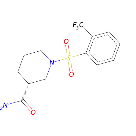 NC(=O)[C@@H]1CCCN(S(=O)(=O)c2ccccc2C(F)(F)F)C1